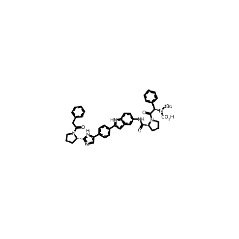 CC(C)(C)N(C(=O)O)[C@@H](C(=O)N1CCC[C@H]1C(=O)Nc1ccc2[nH]c(-c3ccc(-c4cnc([C@@H]5CCCN5C(=O)Cc5ccccc5)[nH]4)cc3)cc2c1)c1ccccc1